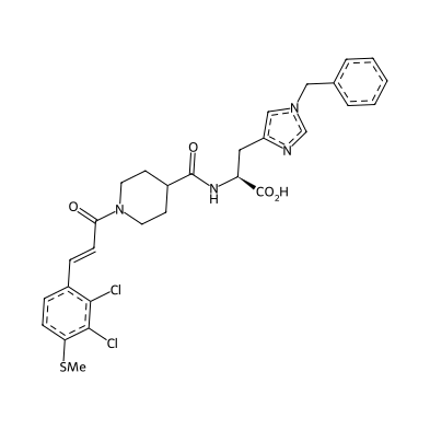 CSc1ccc(/C=C/C(=O)N2CCC(C(=O)N[C@@H](Cc3cn(Cc4ccccc4)cn3)C(=O)O)CC2)c(Cl)c1Cl